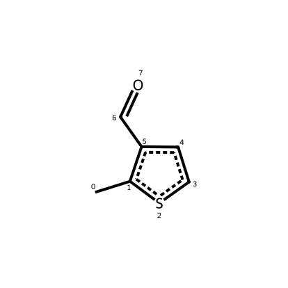 Cc1sccc1C=O